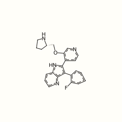 Fc1ccccc1-c1c(-c2ccncc2OC[C@@H]2CCCN2)[nH]c2cccnc12